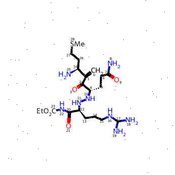 C=C(C(=O)[C@H](CCC(N)=O)NN[C@@H](CCCNC(N)N)C(=O)NC(=O)OCC)[C@@H](N)CCSC